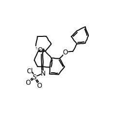 O=S(=O)(Cl)N=C1C[C@]23CCCC[C@]2(CCc2cccc(OCc4ccccc4)c23)O1